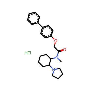 CN(C(=O)COc1ccc(-c2ccccc2)cc1)C1CCCCC1N1CCCC1.Cl